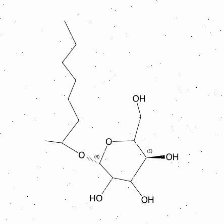 CCCCCCC(C)O[C@@H]1OC(CO)[C@@H](O)C(O)C1O